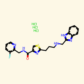 Cl.Cl.Cl.O=C(NCc1ncccc1F)c1csc(CCCNCc2nc3ccccc3[nH]2)n1